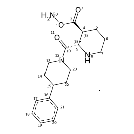 NOC(=O)[C@H]1CCCN[C@@H]1C(=O)N1CCC(c2ccccc2)CC1